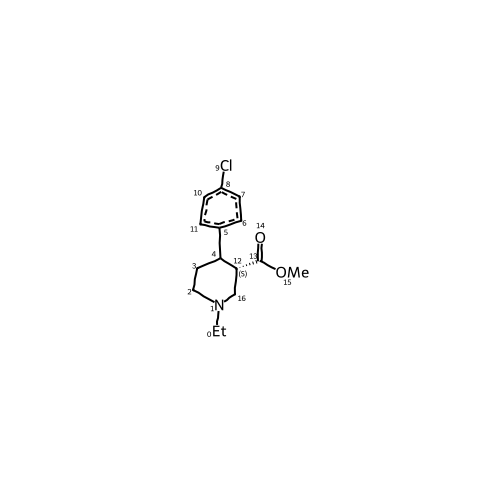 CCN1CCC(c2ccc(Cl)cc2)[C@H](C(=O)OC)C1